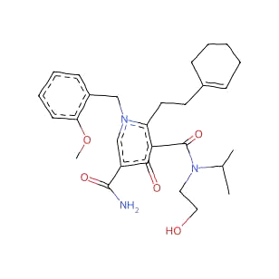 COc1ccccc1Cn1cc(C(N)=O)c(=O)c(C(=O)N(CCO)C(C)C)c1CCC1=CCCCC1